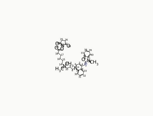 CN1/C(=C/c2cc[n+](CCC[N+](C)(C)CCCCCC(=O)ON3C(=O)CCC3=O)c3ccccc23)Oc2ccccc21